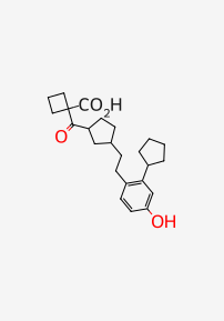 O=C(O)C1(C(=O)C2CCC(CCc3ccc(O)cc3C3CCCC3)C2)CCC1